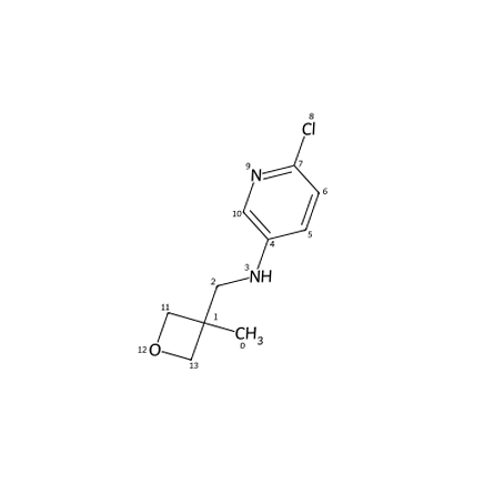 CC1(CNc2ccc(Cl)nc2)COC1